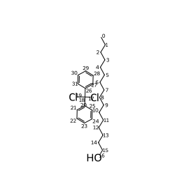 CCCCCCCCCCCCCCCCO.ClC(Cl)(c1ccccc1)c1ccccc1